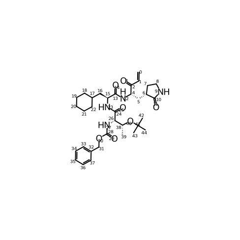 C=CC(=O)[C@H](C[C@@H]1CCNC1=O)NC(=O)[C@H](CC1CCCCC1)NC(=O)[C@@H](NC(=O)OCc1ccccc1)[C@@H](C)OC(C)(C)C